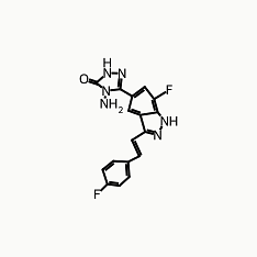 Nn1c(-c2cc(F)c3[nH]nc(/C=C/c4ccc(F)cc4)c3c2)n[nH]c1=O